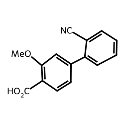 COc1cc(-c2ccccc2C#N)ccc1C(=O)O